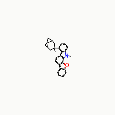 Cn1c2cccc(C3(C)CC4CC45CC5C3)c2c2ccc3c4ccccc4oc3c21